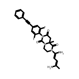 C/C(N)=C/C=C(\N)N1CCN2C(=O)N(c3c(F)cc(C#Cc4ccccc4)cc3F)C(=O)CC2(C)C1=O